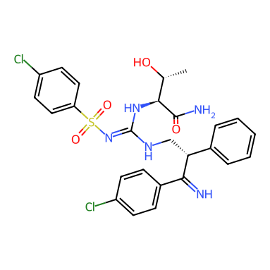 C[C@@H](O)[C@H](N/C(=N\S(=O)(=O)c1ccc(Cl)cc1)NC[C@@H](C(=N)c1ccc(Cl)cc1)c1ccccc1)C(N)=O